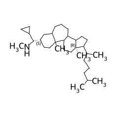 CNC(C1CC1)[C@H]1CCC2(C)C(CCCC3C2CC[C@]2(C)C(C(C)CCCC(C)C)CCC32)C1